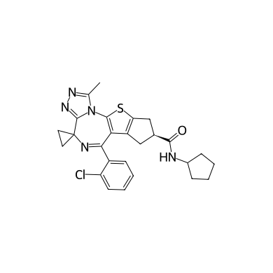 Cc1nnc2n1-c1sc3c(c1C(c1ccccc1Cl)=NC21CC1)C[C@H](C(=O)NC1CCCC1)C3